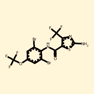 Nc1nc(C(F)(F)F)c(C(=O)Nc2c(Br)cc(OC(F)(F)F)cc2Br)s1